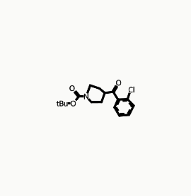 CC(C)(C)OC(=O)N1CCC(C(=O)c2ccccc2Cl)CC1